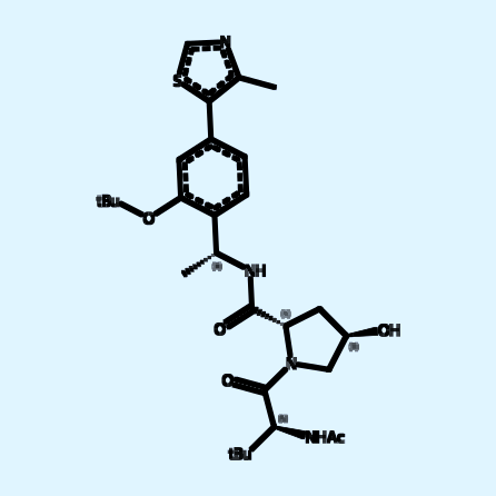 CC(=O)N[C@H](C(=O)N1C[C@H](O)C[C@H]1C(=O)N[C@H](C)c1ccc(-c2scnc2C)cc1OC(C)(C)C)C(C)(C)C